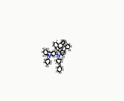 CCc1ccc2cccc3c2c1C1(c2ccccc2-c2ccc(N(c4ccc(-c5ccccc5)cc4)c4ccc5c6ccccc6n(-c6ccccc6)c5c4)cc21)c1ccccc1-3